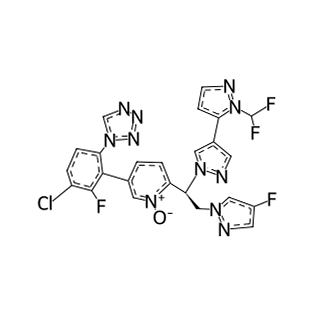 [O-][n+]1cc(-c2c(-n3cnnn3)ccc(Cl)c2F)ccc1[C@H](Cn1cc(F)cn1)n1cc(-c2ccnn2C(F)F)cn1